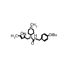 Cc1cc(CN(C(=O)NCc2ccc(OCC(C)C)cc2)C2CCN(C)CC2)no1